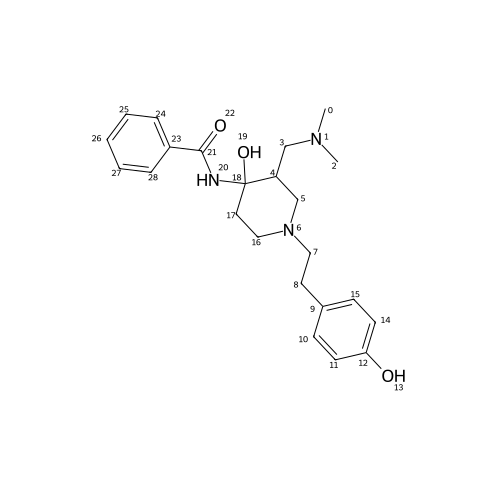 CN(C)CC1CN(CCc2ccc(O)cc2)CCC1(O)NC(=O)c1ccccc1